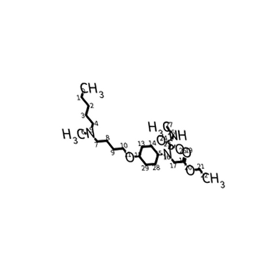 CCCCCN(C)CCCCO[C@H]1CC[C@H](N(CC(=O)OCC)S(=O)(=O)NC)CC1